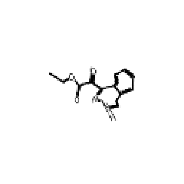 CCOC(=O)C(=O)C1=NNCc2ccccc21